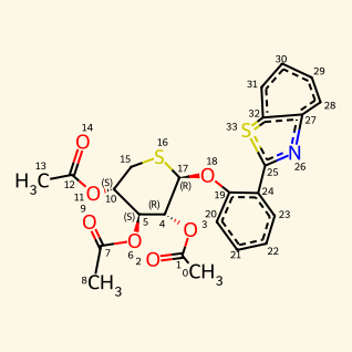 CC(=O)O[C@@H]1[C@@H](OC(C)=O)[C@H](OC(C)=O)CS[C@H]1Oc1ccccc1-c1nc2ccccc2s1